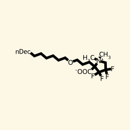 CCCCCCCCCCCCCCCCOCCCC1(C(=O)[O-])C(F)(F)C(F)(F)C[N+]1(C)C